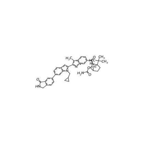 Cc1c(-c2cc3ccc(-c4ccc5c(c4)C(=O)NC5)cc3n2CC2CC2)nn2cc(C(=O)N3CC4CCC3(C(C)(C)C)[C@@H]4OC(N)=O)ccc12